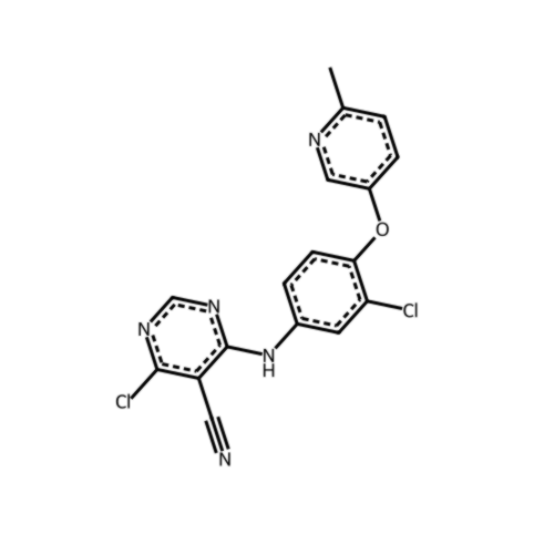 Cc1ccc(Oc2ccc(Nc3ncnc(Cl)c3C#N)cc2Cl)cn1